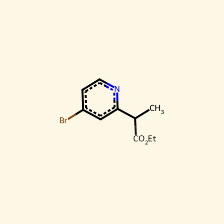 CCOC(=O)C(C)c1cc(Br)ccn1